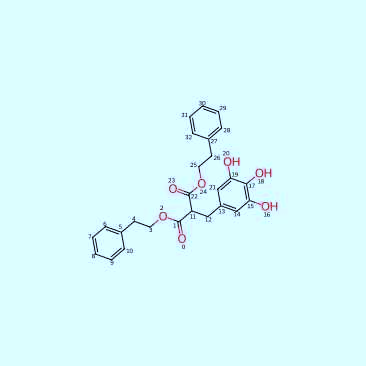 O=C(OCCc1ccccc1)C(Cc1cc(O)c(O)c(O)c1)C(=O)OCCc1ccccc1